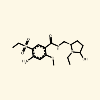 CCN1C(O)CC[C@@H]1CNC(=O)c1cc(S(=O)(=O)CC)c(N)cc1OC